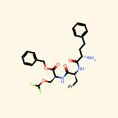 CC(C)C[C@H](NC(=O)[C@@H](N)CCc1ccccc1)C(=O)N[C@@H](COC(F)F)C(=O)OCc1ccccc1